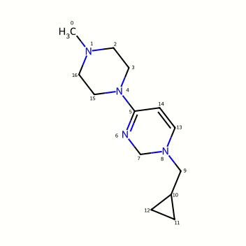 CN1CCN(C2=NCN(CC3CC3)C=C2)CC1